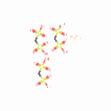 O=S(=O)(O)CS(=O)(=O)O.O=S(=O)(O)CS(=O)(=O)O.O=S(=O)(O)CS(=O)(=O)O.P.P